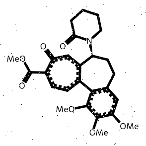 COC(=O)c1ccc2c(cc1=O)[C@@H](N1CCCCC1=O)CCc1cc(OC)c(OC)c(OC)c1-2